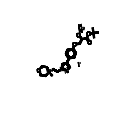 CC(C)(C)OC(=O)C(COc1ccc(-c2cnn(CC[N+]3(C)CCOCC3)c2)cc1)ON.[I-]